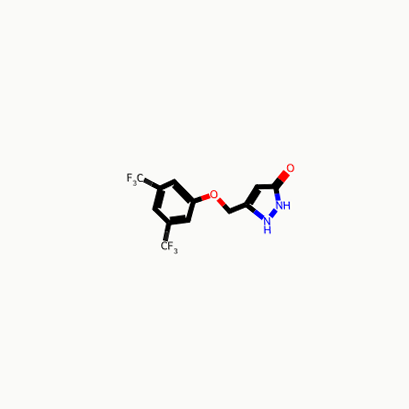 O=c1cc(COc2cc(C(F)(F)F)cc(C(F)(F)F)c2)[nH][nH]1